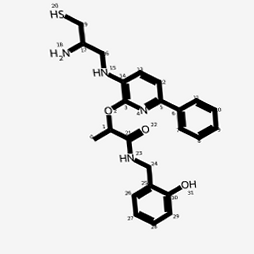 CC(Oc1nc(-c2ccccc2)ccc1NCC(N)CS)C(=O)NCc1ccccc1O